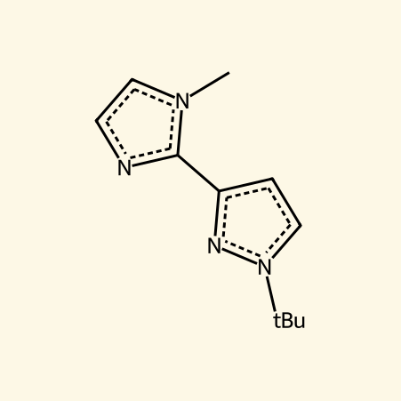 Cn1ccnc1-c1ccn(C(C)(C)C)n1